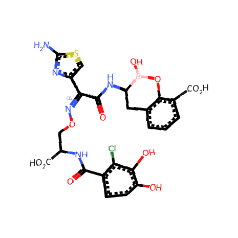 Nc1nc(/C(=N/OCC(NC(=O)c2ccc(O)c(O)c2Cl)C(=O)O)C(=O)NC2Cc3cccc(C(=O)O)c3OB2O)cs1